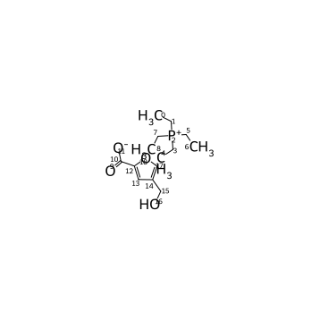 CC[P+](CC)(CC)CC.O=C([O-])c1cc(CO)co1